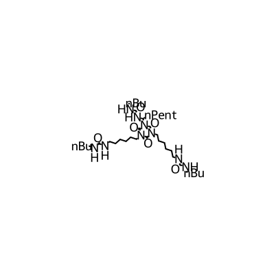 CCCCCC(NC(=O)NCCCC)n1c(=O)n(CCCCCCNC(=O)NCCCC)c(=O)n(CCCCCCNC(=O)NCCCC)c1=O